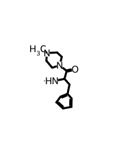 CN1CCN(C(=O)C([NH])Cc2ccccc2)CC1